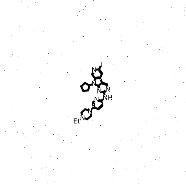 CCN1CCN(c2ccc(Nc3ncc4c5cc(I)ncc5n(C5CCCC5)c4n3)nc2)CC1